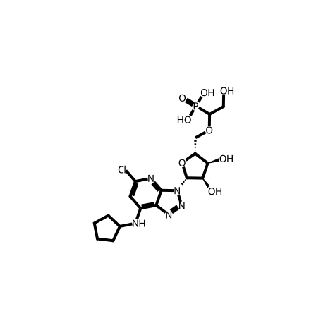 O=P(O)(O)C(CO)OC[C@H]1O[C@@H](n2nnc3c(NC4CCCC4)cc(Cl)nc32)[C@H](O)[C@@H]1O